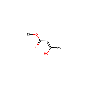 CCOC(=O)/C=C(\O)C(C)=O